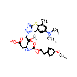 COc1ccc(CCOC(=O)NC(CC(=O)O)C(=O)Cn2nnc(Sc3c(C)cc(N(C)C)cc3C)n2)cc1